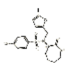 Cc1ccc(CN([C@@H]2CCCCNC2=O)S(=O)(=O)c2ccc(Cl)cc2)o1